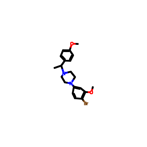 COc1ccc(C(C)N2CCN(c3ccc(Br)c(OC)c3)CC2)cc1